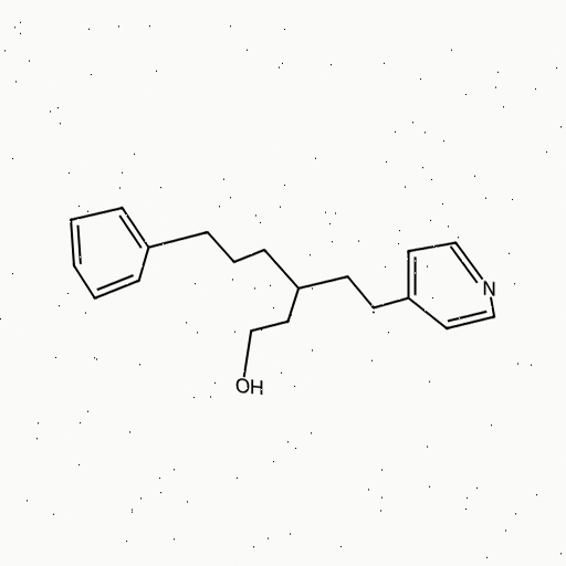 OCCC(C[CH]c1ccncc1)CCCc1ccccc1